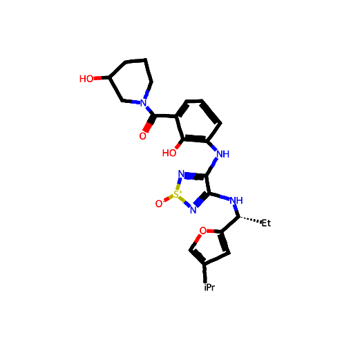 CC[C@@H](Nc1n[s+]([O-])nc1Nc1cccc(C(=O)N2CCCC(O)C2)c1O)c1cc(C(C)C)co1